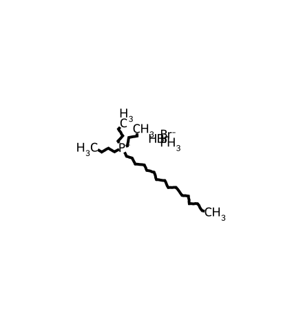 Br.CCCCCCCCCCCCCCCC[P+](CCCC)(CCCC)CCCC.P.[Br-]